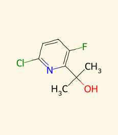 CC(C)(O)c1nc(Cl)ccc1F